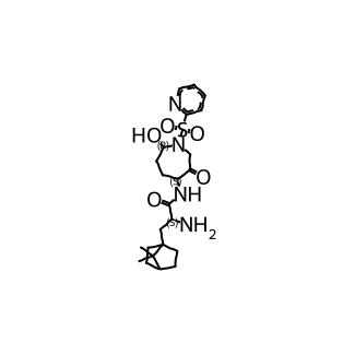 CC1(C)C2CCC1(C[C@H](N)C(=O)N[C@H]1CC[C@@H](O)N(S(=O)(=O)c3ccccn3)CC1=O)CC2